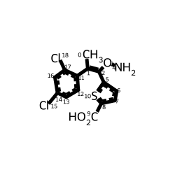 C/C(=C(\ON)c1ccc(C(=O)O)s1)c1ccc(Cl)cc1Cl